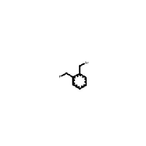 CC(=O)Cc1ccccc1CF